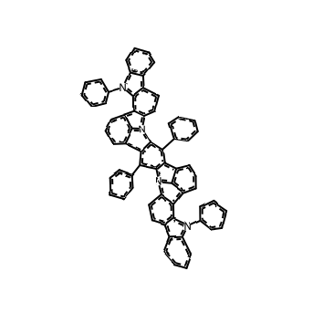 c1ccc(-c2c3c4cccc5c6c7c(ccc6n(c3c(-c3ccccc3)c3c6cccc8c9c%10c(ccc9n(c23)c68)c2ccccc2n%10-c2ccccc2)c45)c2ccccc2n7-c2ccccc2)cc1